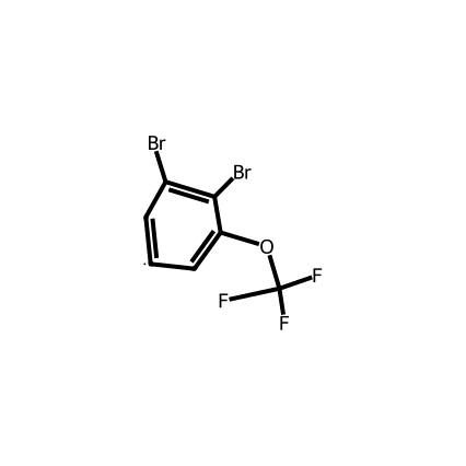 FC(F)(F)Oc1c[c]cc(Br)c1Br